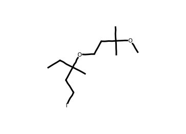 CCC(C)(CCI)OCCC(C)(C)OC